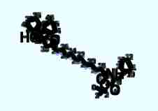 CC(C)(C)OC(=O)[C@H](Cc1ccccc1)NC(=O)/C=C/C=C/C=C/C=C/C=C/C(=O)CC(C)(C)[Si](O)(c1ccccc1)c1ccccc1